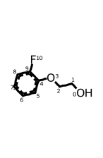 OCCOc1cc[c]cc1F